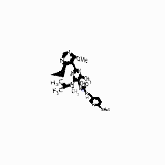 CCSc1ccc(CN/C(C=O)=N/c2c(C)nc(-c3c(OC)ncnc3C3CC3)nc2N(C)C(C)C(F)(F)F)cn1